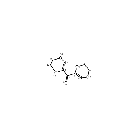 O=C(C1=NOCCO1)C1=NOCCO1